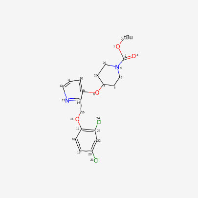 CC(C)(C)OC(=O)N1CCC(Oc2cccnc2COc2ccc(Cl)cc2Cl)CC1